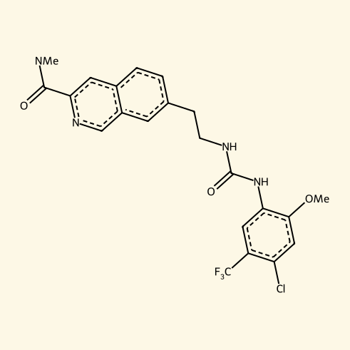 CNC(=O)c1cc2ccc(CCNC(=O)Nc3cc(C(F)(F)F)c(Cl)cc3OC)cc2cn1